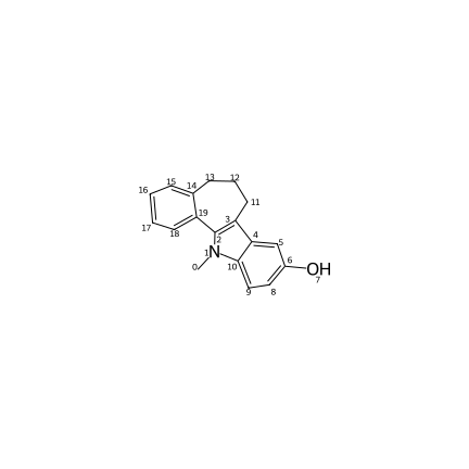 Cn1c2c(c3cc(O)ccc31)CCCc1ccccc1-2